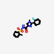 Cc1ccccc1S(=O)(=O)NC(=O)c1cn(C)c(-c2ccccc2F)n1